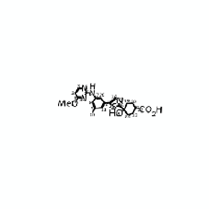 COc1ccnc(Nc2cc(C)cc(-c3cnc(C4(O)CCC(C(=O)O)CC4)s3)c2)n1